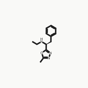 CCN[C@@H](Cc1ccccc1)c1nnc(C)o1